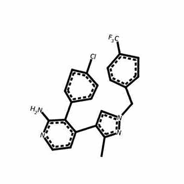 Cc1nn(Cc2ccc(C(F)(F)F)cc2)cc1-c1ccnc(N)c1-c1ccc(Cl)cc1